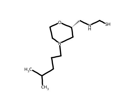 CC(C)CCCN1CCO[C@H](CNCS)C1